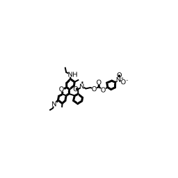 CC/N=c1/cc2oc3cc(NCC)c(C)cc3c(-c3ccccc3C(=O)N(C)CCOC(=O)Oc3ccc([N+](=O)[O-])cc3)c-2cc1C